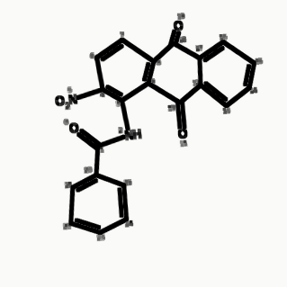 O=C(Nc1c([N+](=O)[O-])ccc2c1C(=O)c1ccccc1C2=O)c1ccccc1